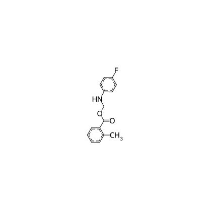 Cc1ccccc1C(=O)OCNc1ccc(F)cc1